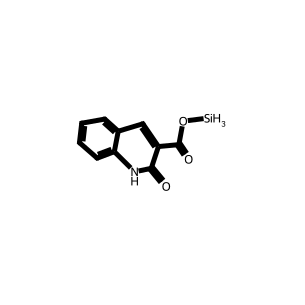 O=C(O[SiH3])c1cc2ccccc2[nH]c1=O